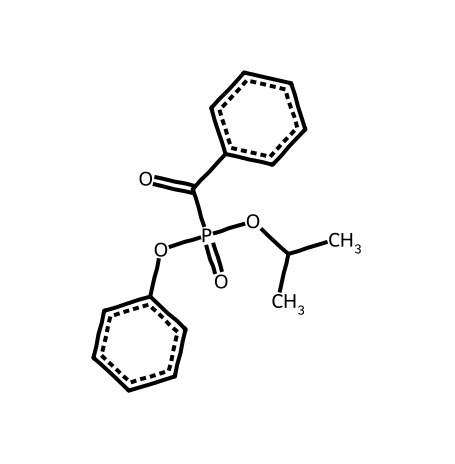 CC(C)OP(=O)(Oc1ccccc1)C(=O)c1ccccc1